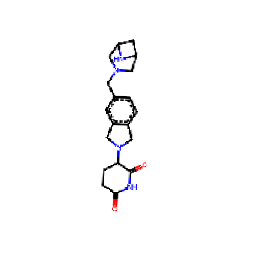 O=C1CCC(N2Cc3ccc(CN4CC5CC(C4)N5)cc3C2)C(=O)N1